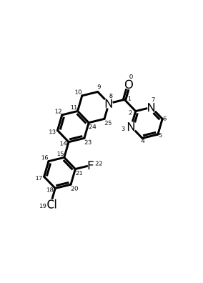 O=C(c1ncccn1)N1CCc2ccc(-c3ccc(Cl)cc3F)cc2C1